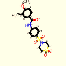 COc1ccc(C(=O)Nc2ccc(S(=O)(=O)N3CCS(=O)(=O)CC3)cc2)cc1C